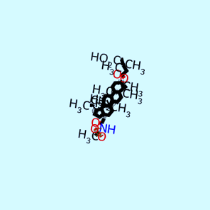 C=C(C)[C@@H]1CC[C@]2(CC(=O)NS(C)(=O)=O)CC[C@]3(C)[C@H](CCC4[C@@]5(C)CC[C@H](OC(=O)CC(C)(C)CC(=O)O)C(C)(C)C5CC[C@]43C)C12